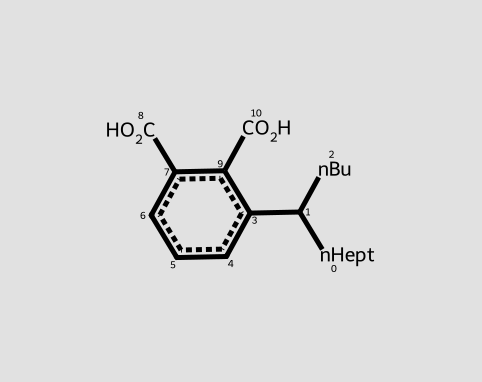 CCCCCCCC(CCCC)c1cccc(C(=O)O)c1C(=O)O